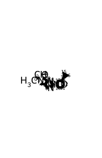 CC(C)N1Cc2cnc(N3CCOC(C4CC4)C3)nc2C1=O